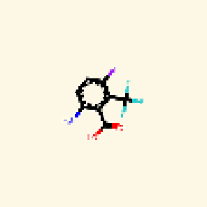 Nc1ccc(I)c(C(F)(F)F)c1C(=O)O